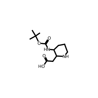 CC(C)(C)OC(=O)NC1CCCNC1CC(=O)O